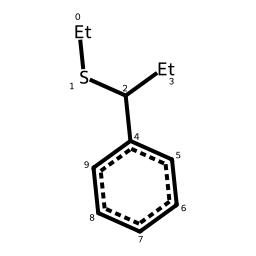 CCSC(CC)c1ccccc1